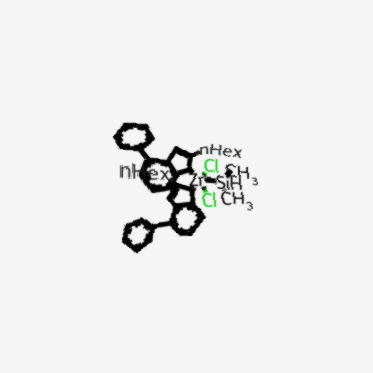 CCCCCCC1=Cc2c(-c3ccccc3)cccc2[CH]1[Zr]([Cl])([Cl])([CH]1C(CCCCCC)=Cc2c(-c3ccccc3)cccc21)[SiH](C)C